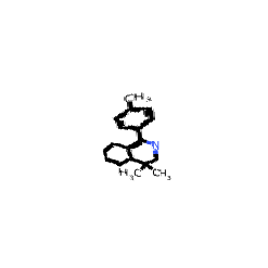 Cc1ccc(C2=C3C=CC=CC3C(C)(C)C=N2)cc1